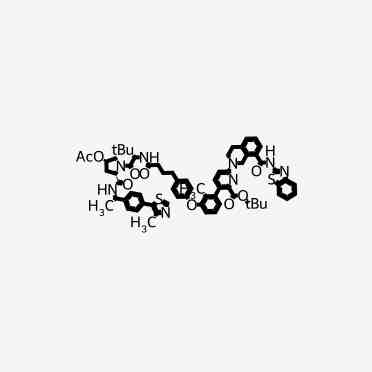 CC(=O)O[C@@H]1C[C@@H](C(=O)NC(C)c2ccc(-c3scnc3C)cc2)N(C(=O)C(NC(=O)CCCc2ccc(Oc3cccc(-c4ccc(N5CCc6cccc(C(=O)Nc7nc8ccccc8s7)c6C5)nc4C(=O)OC(C)(C)C)c3C)cc2)C(C)(C)C)C1